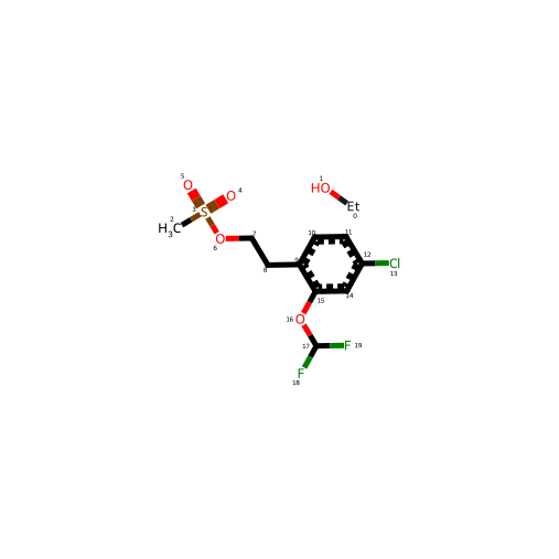 CCO.CS(=O)(=O)OCCc1ccc(Cl)cc1OC(F)F